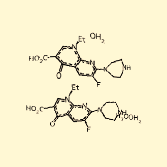 CCn1cc(C(=O)O)c(=O)c2cc(F)c(N3CCNCC3)nc21.CCn1cc(C(=O)O)c(=O)c2cc(F)c(N3CCNCC3)nc21.O.O.O